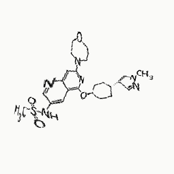 Cn1cc([C@H]2CC[C@H](Oc3nc(N4CCOCC4)cc4ncc(NS(C)(=O)=O)cc34)CC2)cn1